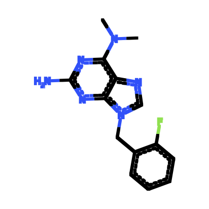 CN(C)c1nc(N)nc2c1ncn2Cc1ccccc1F